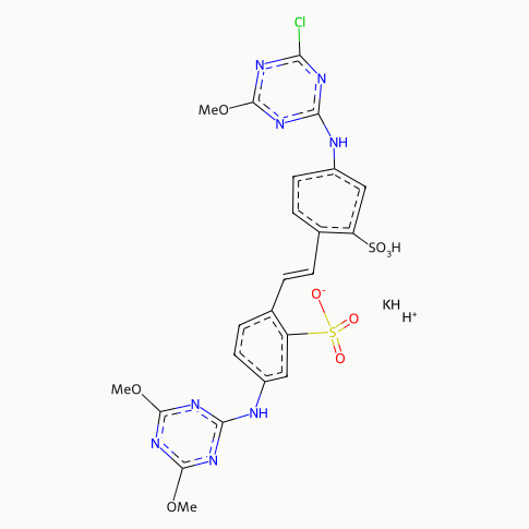 COc1nc(Cl)nc(Nc2ccc(C=Cc3ccc(Nc4nc(OC)nc(OC)n4)cc3S(=O)(=O)[O-])c(S(=O)(=O)O)c2)n1.[H+].[KH]